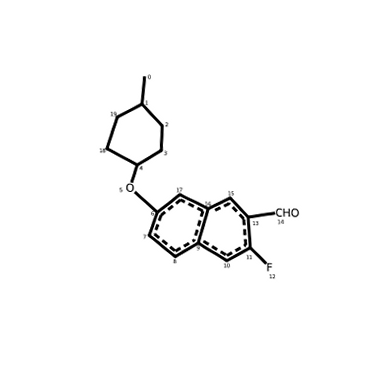 CC1CCC(Oc2ccc3cc(F)c(C=O)cc3c2)CC1